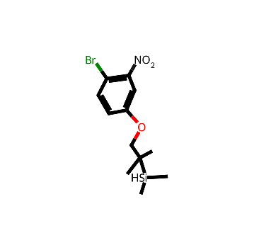 C[SiH](C)C(C)(C)COc1ccc(Br)c([N+](=O)[O-])c1